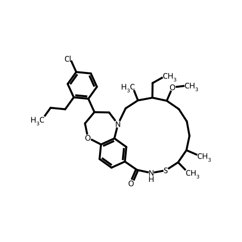 CCCc1cc(Cl)ccc1C1COc2ccc3cc2N(C1)CC(C)C(CC)C(OC)CCCC(C)C(C)SNC3=O